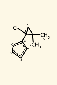 CC1(C)CC1(Cl)c1cccs1